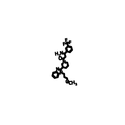 COCCCn1c(C2CCCN(C(=O)CC(N)c3cccc(C(F)(F)F)c3)C2)nc2ccccc21